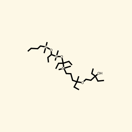 CCCC[Si](C)(C)OC(CC)[Si](C)(C)OC(CC)(CC)[Si](C)(C)CCCC(C)(CC)OCCC(O)(CC)CC